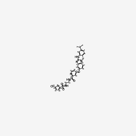 CC(C)c1cccc(Nc2nc3cc(Oc4ccnc(C(=O)NCCNS(=O)(=O)c5ccc(Cl)s5)c4)ccc3n2C)c1